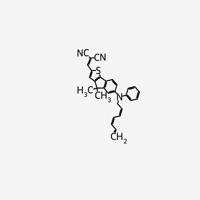 C=C/C=C\C=C/CN(c1ccccc1)c1ccc2c(c1)C(C)(C)c1cc(C=C(C#N)C#N)sc1-2